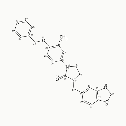 Cc1cc(N2CCN(Cc3ccc4c(c3)OCO4)C2=O)ccc1OCc1ccccc1